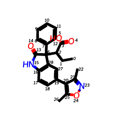 CCC(C(=O)O)C1(c2ccccc2)C(=O)Nc2ccc(-c3c(C)noc3C)cc21